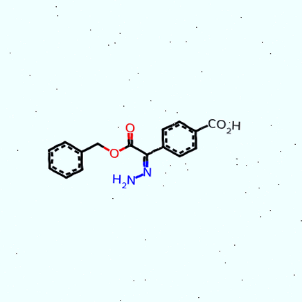 NN=C(C(=O)OCc1ccccc1)c1ccc(C(=O)O)cc1